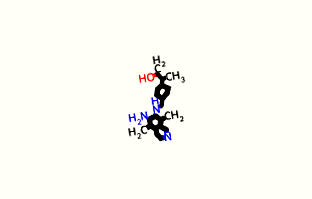 C=C(O)C(C)c1ccc(CNc2c(N)c(=C)c3ccncc3c2=C)cc1